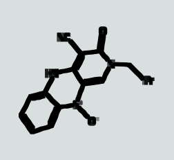 CC(C)Cn1cc2c(c(C#N)c1=O)Nc1ccccc1[S+]2[O-]